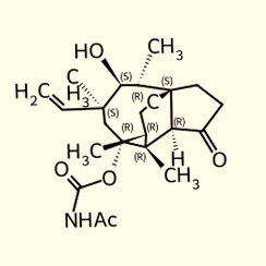 C=C[C@]1(C)C[C@@H](OC(=O)NC(C)=O)[C@]2(C)[C@H](C)CC[C@]3(CCC(=O)[C@H]32)[C@@H](C)[C@@H]1O